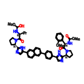 COC(=O)N[C@H](C(=O)N1CCC[C@H]1c1ncc(-c2ccc(-c3ccc4cc(-c5cnc([C@@H]6CCCN6C(=O)[C@@H](NC(O)OC)C(C)C)[nH]5)ccc4c3)cc2)[nH]1)c1ccccc1OC